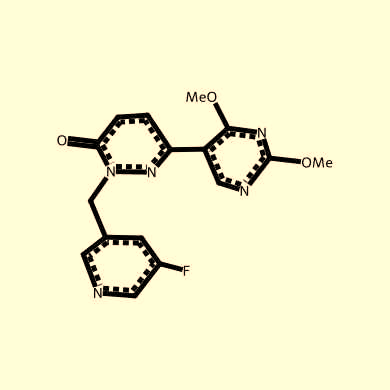 COc1ncc(-c2ccc(=O)n(Cc3cncc(F)c3)n2)c(OC)n1